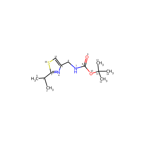 CC(C)c1nc(CNC(=O)OC(C)(C)C)cs1